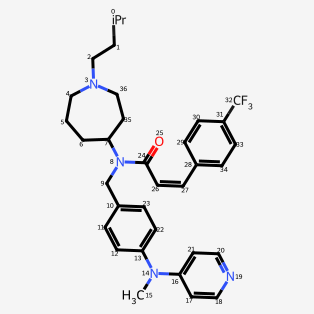 CC(C)CCN1CCCC(N(Cc2ccc(N(C)c3ccncc3)cc2)C(=O)C=Cc2ccc(C(F)(F)F)cc2)CC1